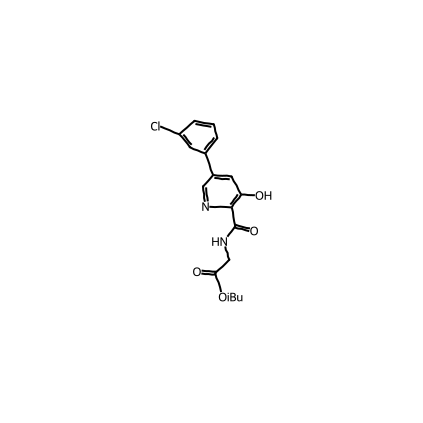 CC(C)COC(=O)CNC(=O)c1ncc(-c2cccc(Cl)c2)cc1O